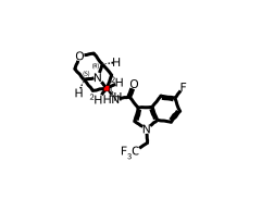 [2H]C([2H])([2H])N1[C@@H]2COC[C@H]1C[C@@H](NC(=O)c1cn(CC(F)(F)F)c3ccc(F)cc13)C2